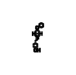 Oc1ccc(CCN2C[C@H]3C[C@H](Oc4ccccc4)C[C@H]3C2)cc1